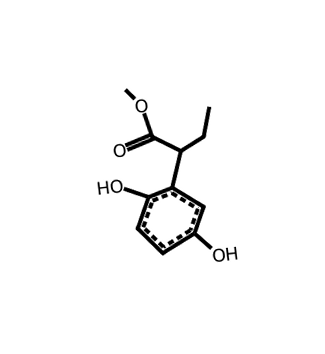 CCC(C(=O)OC)c1cc(O)ccc1O